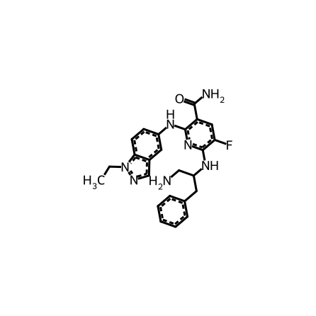 CCn1ncc2cc(Nc3nc(NC(CN)Cc4ccccc4)c(F)cc3C(N)=O)ccc21